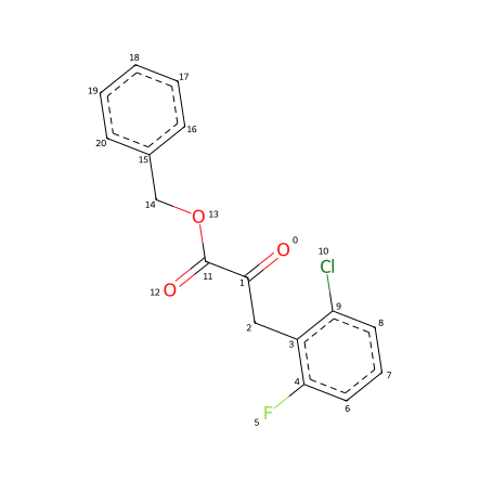 O=C(Cc1c(F)cccc1Cl)C(=O)OCc1ccccc1